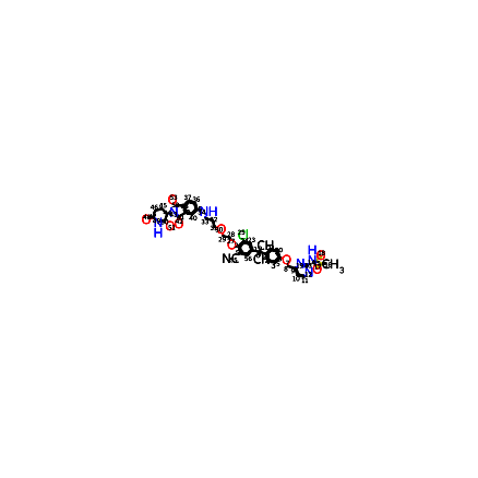 CC(C)(c1ccc(OCc2ccnc(NS(C)(=O)=O)n2)cc1)c1cc(Cl)c(OCCOCCCNc2ccc3c(c2)C(=O)N(C2CCC(=O)NC2=O)C3=O)c(C#N)c1